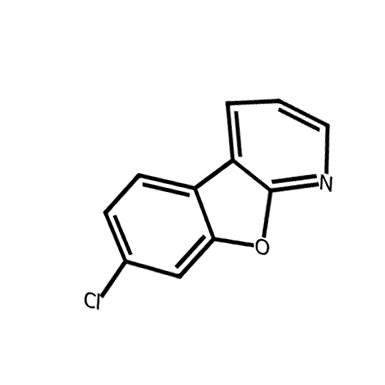 Clc1ccc2c(c1)oc1ncccc12